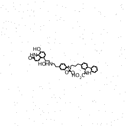 O=C(O)Nc1cc(CCCn2c(=O)oc3cc(CCNC[C@@H](O)c4ccc(O)c5[nH]c(=O)ccc45)ccc32)ccc1-c1ccccc1